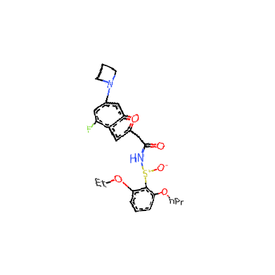 CCCOc1cccc(OCC)c1[S+]([O-])NC(=O)c1cc2c(F)cc(N3CCC3)cc2o1